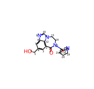 O=C1c2cc(CO)cc3ncn(c23)CCN1C1CN2CCC1CC2